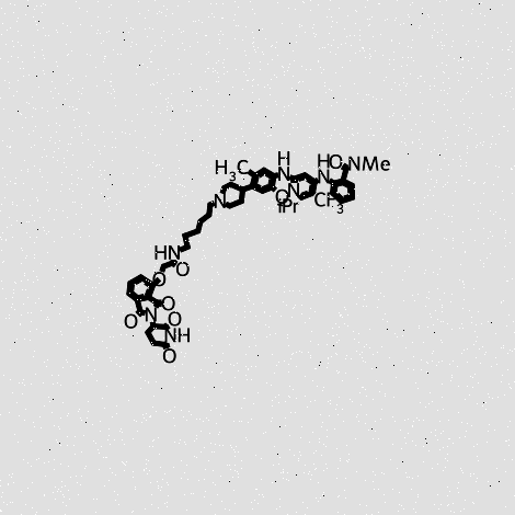 CNC(=O)c1ccccc1Nc1cc(Nc2cc(C)c(C3CCN(CCCCCCNC(=O)COc4cccc5c4C(=O)N(C4CCC(=O)NC4=O)C5=O)CC3)cc2OC(C)C)ncc1C(F)(F)F